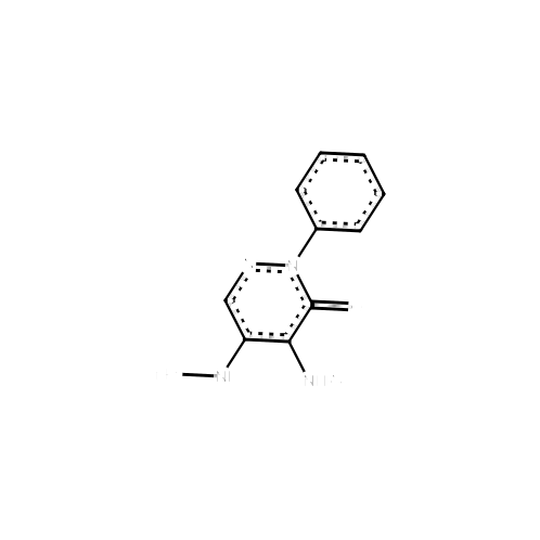 CCCNc1cnn(-c2ccccc2)c(=O)c1NC(C)=O